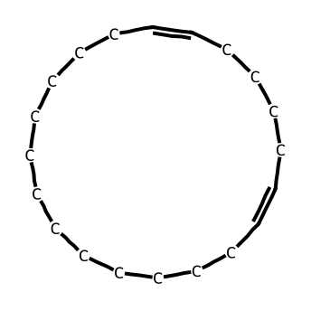 C1=CCCCCCCCCCCCCC=CCCCC1